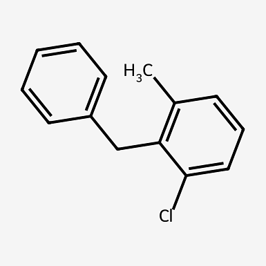 Cc1cccc(Cl)c1Cc1ccccc1